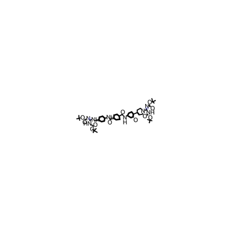 COc1cc(NC(=O)c2ccc(C(=O)Nc3ccc(CN/C(=N/C(=O)OC(C)(C)C)NC(=O)OC(C)(C)C)cc3)cc2)ccc1C1=CCN(/C(=N/C(=O)OC(C)(C)C)NC(=O)OC(C)(C)C)CC1